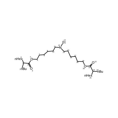 CCCCCCC(CCCC)C(=O)OCCCCCCN(CC)CCCCCCOC(=O)C(CCCC)CCCCCC